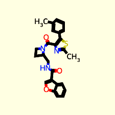 Cc1cccc(-c2sc(C)nc2C(=O)N2CCC2CNC(=O)c2coc3ccccc23)c1